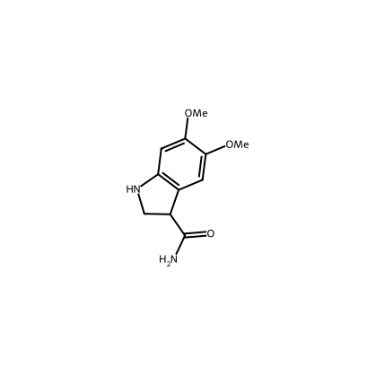 COc1cc2c(cc1OC)C(C(N)=O)CN2